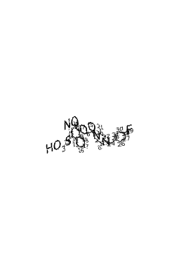 C[C@@H]1CN(C(=O)COc2c(N=O)cc(S(=O)(=O)O)c3ccccc23)[C@@H](C)CN1Cc1ccc(F)cc1